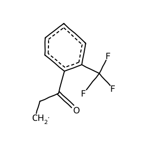 [CH2]CC(=O)c1ccccc1C(F)(F)F